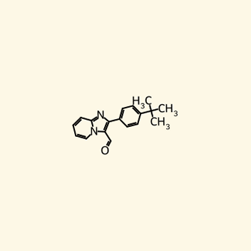 CC(C)(C)c1ccc(-c2nc3ccccn3c2C=O)cc1